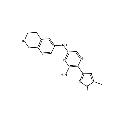 Cc1cc(-c2ncc(Nc3ccc4c(c3)CCNC4)nc2N)n[nH]1